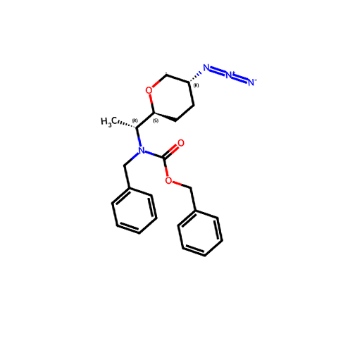 C[C@H]([C@@H]1CC[C@@H](N=[N+]=[N-])[CH]O1)N(Cc1ccccc1)C(=O)OCc1ccccc1